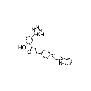 O=C(C=Cc1ccc(OCc2nc3ccccc3s2)cc1)c1cc(-c2nnn[nH]2)ccc1O